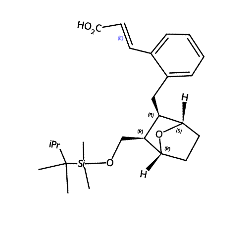 CC(C)C(C)(C)[Si](C)(C)OC[C@H]1[C@@H](Cc2ccccc2/C=C/C(=O)O)[C@@H]2CC[C@H]1O2